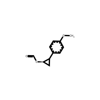 COc1ccc(C2C[C@H]2OC=O)cc1